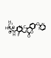 CNS(=O)(=O)Nc1cccc(CN2C(=O)Oc3cc(Oc4ncccn4)ccc3[C@@H]2C)c1F